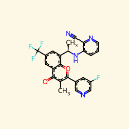 Cc1c(-c2cncc(F)c2)oc2c([C@@H](C)Nc3cccnc3C#N)cc(C(F)(F)F)cc2c1=O